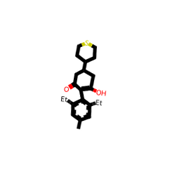 CCc1cc(C)cc(CC)c1C1=C(O)CC(C2CCSCC2)CC1=O